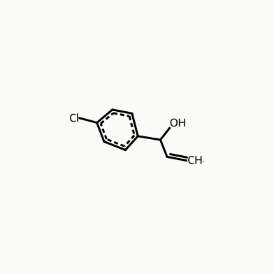 [CH]=CC(O)c1ccc(Cl)cc1